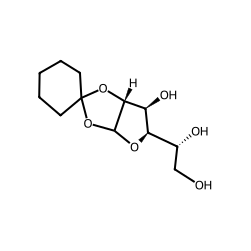 OC[C@@H](O)[C@H]1OC2OC3(CCCCC3)O[C@@H]2[C@H]1O